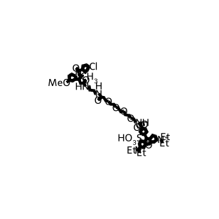 CCN(CC)c1ccc2c(-c3ccc(S(=O)(=O)NCCOCCOCCOCCOCCC(=O)NCCCCNC(=O)Cc4c(C)n(C(=O)c5ccc(Cl)cc5)c5ccc(OC)cc45)cc3S(=O)(=O)O)c3ccc(=[N+](CC)CC)cc-3oc2c1